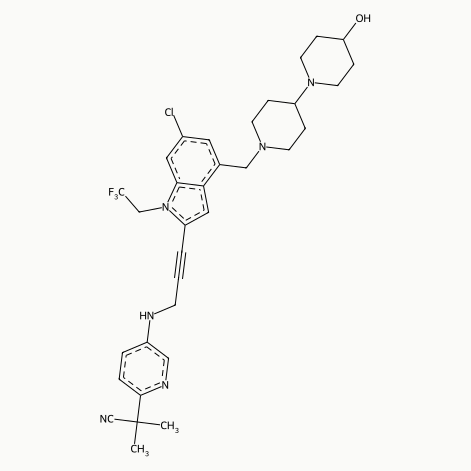 CC(C)(C#N)c1ccc(NCC#Cc2cc3c(CN4CCC(N5CCC(O)CC5)CC4)cc(Cl)cc3n2CC(F)(F)F)cn1